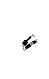 N#[C][Au].[O]=[Ti]=[O]